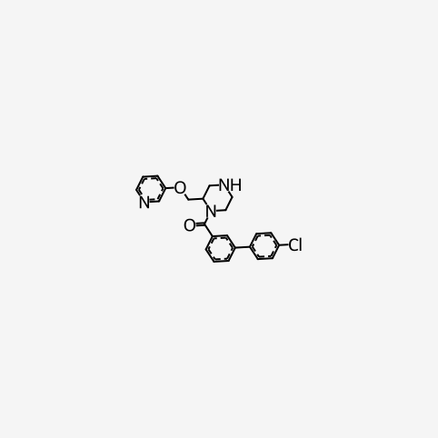 O=C(c1cccc(-c2ccc(Cl)cc2)c1)N1CCNCC1COc1cccnc1